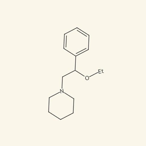 CCOC(CN1CCCCC1)c1ccccc1